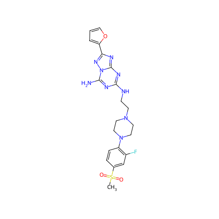 CS(=O)(=O)c1ccc(N2CCN(CCNc3nc(N)n4nc(-c5ccco5)nc4n3)CC2)c(F)c1